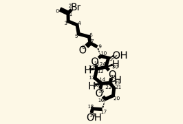 C=C(Br)CCCCC(=O)C[C@H]1O[C@H]2C[C@H]3O[C@@H](CCO)CC[C@@H]3O[C@H]2[C@H]1O